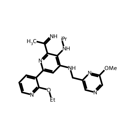 CCOc1ncccc1-c1cc(NCc2cncc(OC)n2)c(NC(C)C)c(C(C)=N)n1